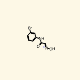 O=C(/C=N/O)Nc1cccc(Br)c1